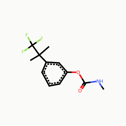 CNC(=O)Oc1cccc(C(C)(C)C(F)(F)F)c1